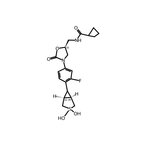 O=C(NC[C@H]1CN(c2ccc(C3[C@H]4CS(O)(O)C[C@@H]34)c(F)c2)C(=O)O1)C1CCC1